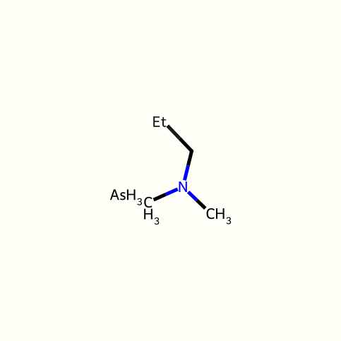 CCCN(C)C.[AsH3]